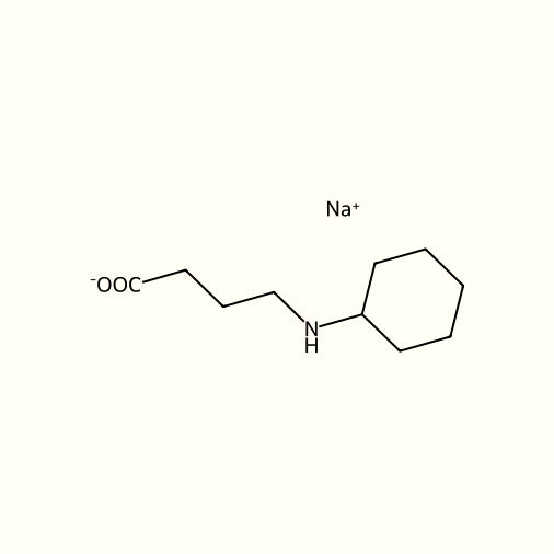 O=C([O-])CCCNC1CCCCC1.[Na+]